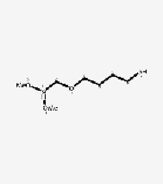 CO[SiH](COCCCCS)OC